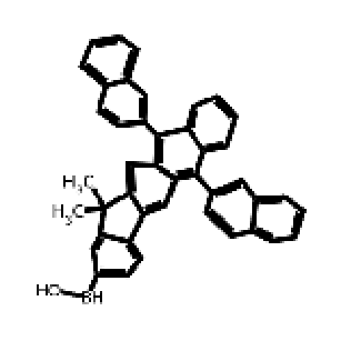 CC1(C)c2cc(BO)ccc2-c2cc3c(-c4ccc5ccccc5c4)c4ccccc4c(-c4ccc5ccccc5c4)c3cc21